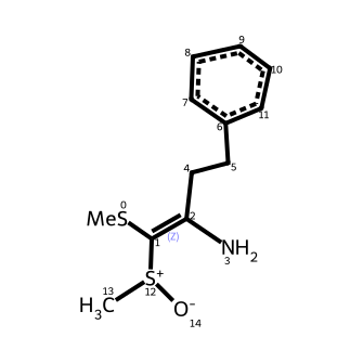 CS/C(=C(/N)CCc1ccccc1)[S+](C)[O-]